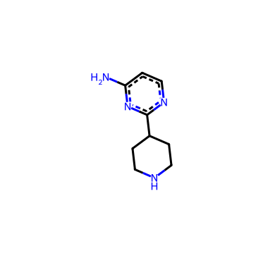 Nc1ccnc(C2CCNCC2)n1